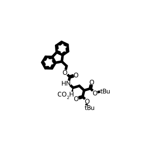 CC(C)(C)OC(=O)C(C[C@H](NC(=O)OCC1c2ccccc2-c2ccccc21)C(=O)O)C(=O)OC(C)(C)C